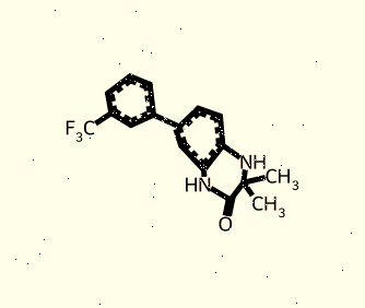 CC1(C)Nc2ccc(-c3cccc(C(F)(F)F)c3)cc2NC1=O